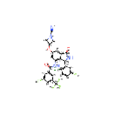 N#CN1CC(Oc2cc(NC(=O)c3cc(F)cc(C(F)(F)F)c3)c3c(c2)C(=O)NC3c2cc(F)ccc2Cl)C1